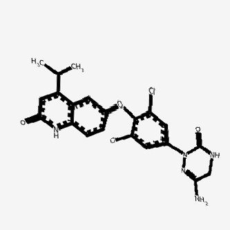 CC(C)c1cc(=O)[nH]c2ccc(Oc3c(Cl)cc(N4N=C(N)CNC4=O)cc3Cl)cc12